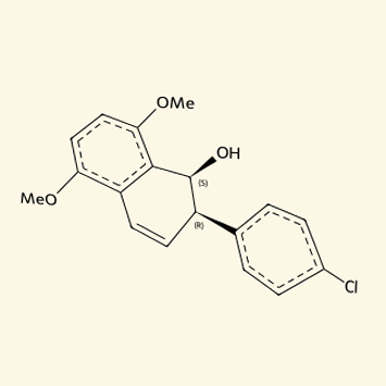 COc1ccc(OC)c2c1C=C[C@H](c1ccc(Cl)cc1)[C@@H]2O